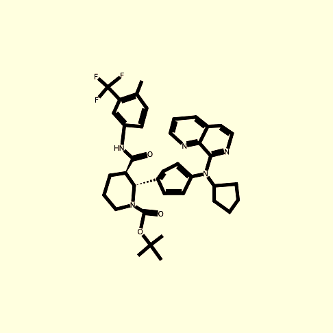 Cc1ccc(NC(=O)[C@@H]2CCCN(C(=O)OC(C)(C)C)[C@H]2c2ccc(N(c3nccc4cccnc34)C3CCCC3)cc2)cc1C(F)(F)F